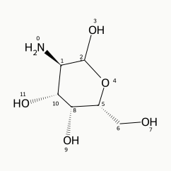 N[C@H]1[C](O)O[C@H](CO)[C@H](O)[C@@H]1O